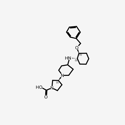 O=C(O)N1CC[C@H](N2CCC(N[C@H]3CCCC[C@@H]3OCc3ccccc3)CC2)C1